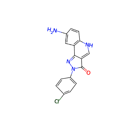 Nc1ccc2[nH]cc3c(=O)n(-c4ccc(Cl)cc4)nc-3c2c1